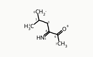 [CH2]C(C)CC(=N)C(C)=O